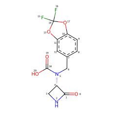 O=C1NC[C@@H]1N(Cc1ccc2c(c1)OC(F)(F)O2)C(=O)O